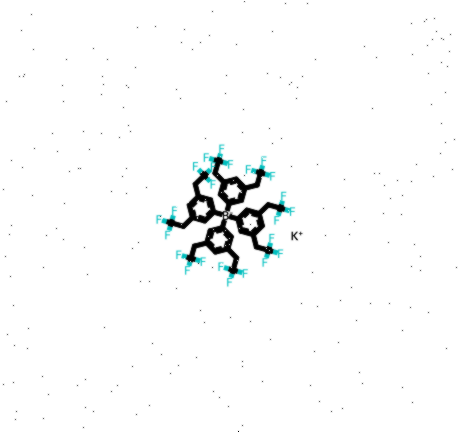 FC(F)(F)Cc1cc(CC(F)(F)F)cc([B-](c2cc(CC(F)(F)F)cc(CC(F)(F)F)c2)(c2cc(CC(F)(F)F)cc(CC(F)(F)F)c2)c2cc(CC(F)(F)F)cc(CC(F)(F)F)c2)c1.[K+]